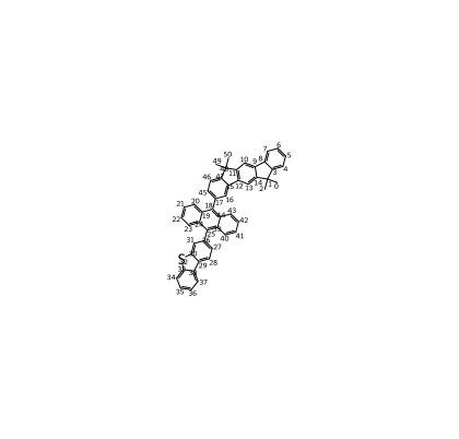 CC1(C)c2ccccc2-c2cc3c(cc21)-c1cc(-c2c4ccccc4c(-c4ccc5c(c4)sc4ccccc45)c4ccccc24)ccc1C3(C)C